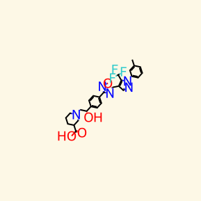 Cc1cccc(-n2ncc(-c3nc(-c4ccc(C(O)CN5CCCC(C(=O)O)C5)cc4)no3)c2C(F)(F)F)c1